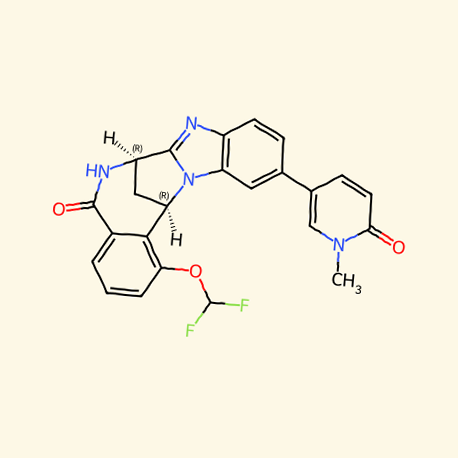 Cn1cc(-c2ccc3nc4n(c3c2)[C@@H]2C[C@H]4NC(=O)c3cccc(OC(F)F)c32)ccc1=O